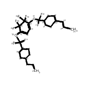 CCCC1CCC(C(F)(F)OC2=CC=C(OC(F)(F)C3CCC(CCC)CC3)C(F)(F)C2(F)F)CC1